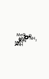 COc1cc(C(N)=O)cc2nc(NC(=O)c3cnc(C)cn3)[nH]c12